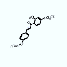 CCCCCCCCOc1ccc(/C=C/C(=O)c2ccc(C(=O)OCC)cc2O)cc1